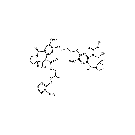 COc1cc2c(cc1OCCCOc1cc3c(cc1OC)C(=O)N1CCC[C@H]1[C@H](O)N3C(=O)OC(C)(C)C)N(C(=O)OC[C@@H](C)SSc1ncccc1[N+](=O)[O-])[C@@H](O)[C@@H]1CCCN1C2=O